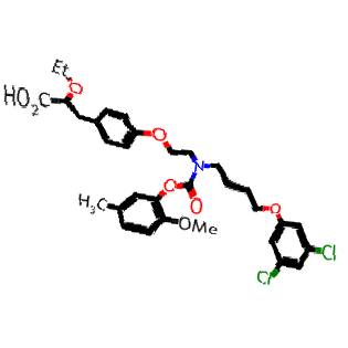 CCOC(Cc1ccc(OCCN(CCCCOc2cc(Cl)cc(Cl)c2)C(=O)Oc2cc(C)ccc2OC)cc1)C(=O)O